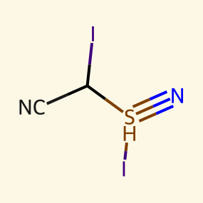 N#CC(I)[SH](#N)I